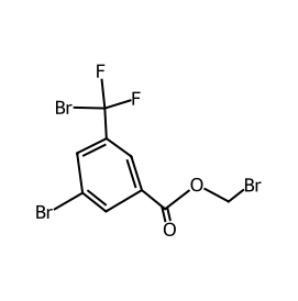 O=C(OCBr)c1cc(Br)cc(C(F)(F)Br)c1